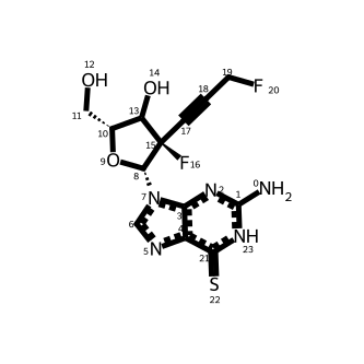 Nc1nc2c(ncn2[C@@H]2O[C@H](CO)C(O)[C@]2(F)C#CCF)c(=S)[nH]1